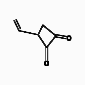 C=CC1CC(=O)C1=O